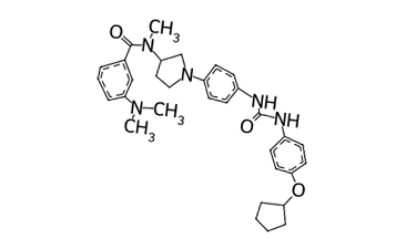 CN(C)c1cccc(C(=O)N(C)C2CCN(c3ccc(NC(=O)Nc4ccc(OC5CCCC5)cc4)cc3)C2)c1